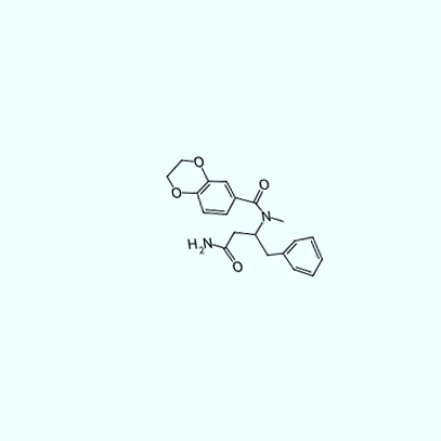 CN(C(=O)c1ccc2c(c1)OCCO2)C(CC(N)=O)Cc1ccccc1